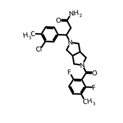 Cc1ccc(C(CC(N)=O)N2CC3CN(C(=O)c4c(F)ccc(C)c4F)CC3C2)cc1Cl